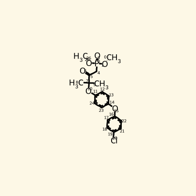 COP(=O)(CC(=O)C(C)(C)Oc1ccc(Oc2ccc(Cl)cc2)cc1)OC